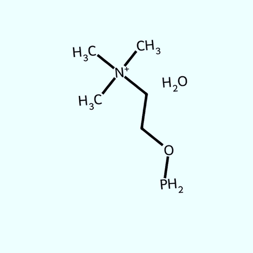 C[N+](C)(C)CCOP.O